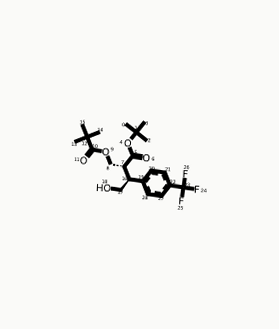 CC(C)(C)OC(=O)[C@@H](COC(=O)C(C)(C)C)[C@H](CO)c1ccc(C(F)(F)F)cc1